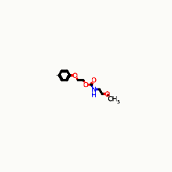 COCCNC(=O)OCCOc1cc[c]cc1